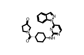 O=C1CCN(C(=O)[C@H]2CC[C@H](Nc3nccc(-n4ncc5ccccc54)n3)CC2)C1